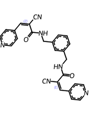 [C-]#[N+]/C(=C/c1ccncc1)C(=O)NCc1cccc(CNC(=O)/C(C#N)=C\c2ccncc2)c1